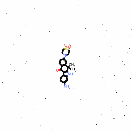 CC1(C)c2cc(N3CCS(=O)(=O)CC3)ccc2C(=O)c2c1[nH]c1cc(N)ccc21